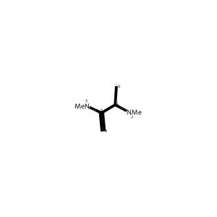 [CH2]C(NC)C(=C)NC